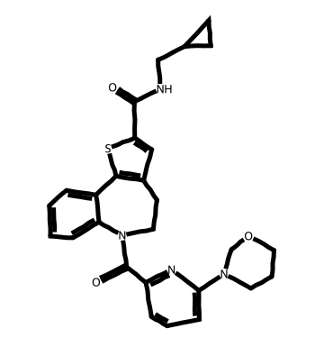 O=C(NCC1CC1)c1cc2c(s1)-c1ccccc1N(C(=O)c1cccc(N3CCCOC3)n1)CC2